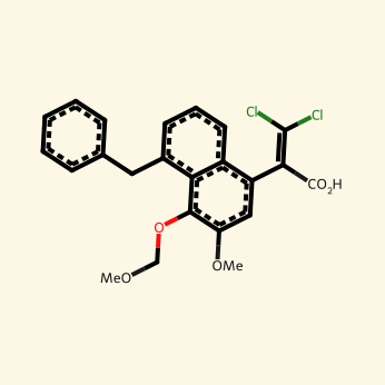 COCOc1c(OC)cc(C(C(=O)O)=C(Cl)Cl)c2cccc(Cc3ccccc3)c12